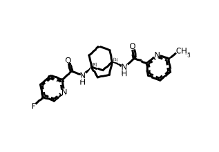 Cc1cccc(C(=O)N[C@@]23CCC[C@@](NC(=O)c4ccc(F)cn4)(CC2)C3)n1